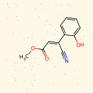 COC(=O)C=C(C#N)c1ccccc1O